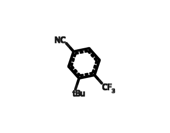 CC(C)(C)c1cc(C#N)ccc1C(F)(F)F